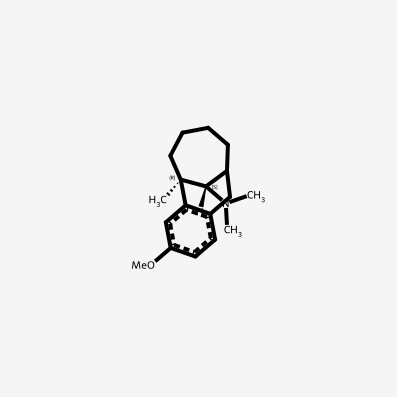 COc1ccc2c(c1)[C@@]1(C)CCCCC(C2)[C@@H]1N(C)C